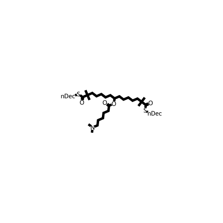 CCCCCCCCCCSC(=O)C(C)(C)CCCCCC(CCCCCC(C)(C)C(=O)SCCCCCCCCCC)OC(=O)CCCCCN(C)C